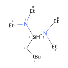 CCN(CC)[SiH](CC(C)(C)C)N(CC)CC